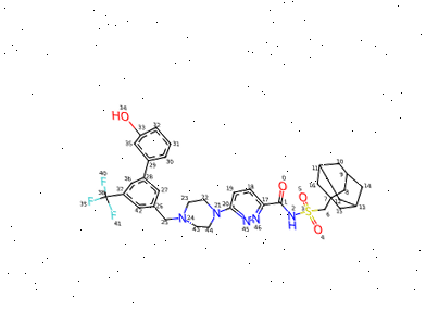 O=C(NS(=O)(=O)CC12CC3CC(CC(C3)C1)C2)c1ccc(N2CCN(Cc3cc(-c4cccc(O)c4)cc(C(F)(F)F)c3)CC2)nn1